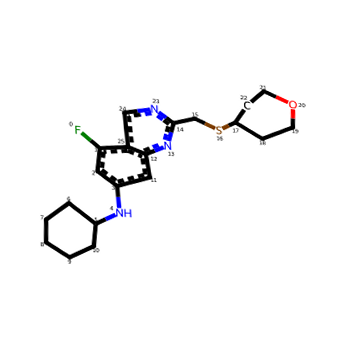 Fc1cc(NC2CCCCC2)cc2nc(CSC3CCOCC3)ncc12